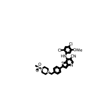 COc1cc(Nc2c(C#N)cnc3cc(-c4ccc(CN5CCN(S(C)(=O)=O)CC5)cc4)sc23)c(Cl)cc1Cl